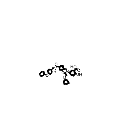 O=C(NCc1ccc(Oc2ccccc2)cc1)c1ccc(CN(C(=O)COc2ccccc2)c2ccc(O)c(C(=O)O)c2)cc1